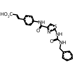 O=C(O)C=Cc1ccc(NC(=O)c2csc(NC(=O)NCc3ccccc3)n2)cc1